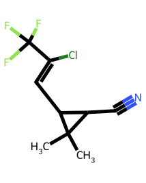 CC1(C)C(C#N)C1C=C(Cl)C(F)(F)F